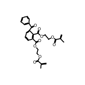 C=C(C)C(=O)OCCOC(=O)c1cccc(C(=O)c2ccccc2)c1C(=O)OCCOC(=O)C(=C)C